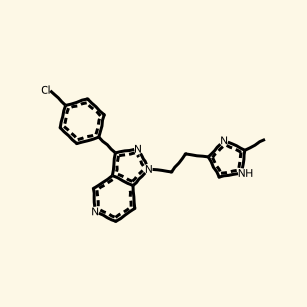 Cc1nc(CCn2nc(-c3ccc(Cl)cc3)c3cnccc32)c[nH]1